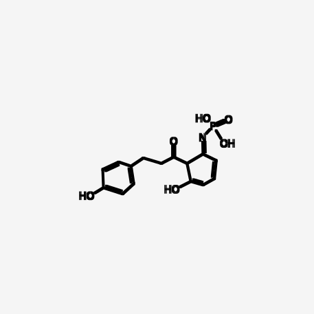 O=C(CCc1ccc(O)cc1)C1C(O)=CC=CC1=NP(=O)(O)O